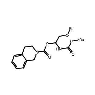 CCOCC(NC(=O)OC(C)(C)C)OC(=O)N1CCc2ccccc2C1